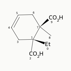 CC[C@@]1(C(=O)O)CC=CC[C@@]1(C)C(=O)O